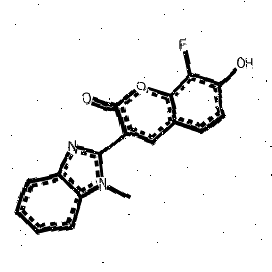 Cn1c(-c2cc3ccc(O)c(F)c3oc2=O)nc2ccccc21